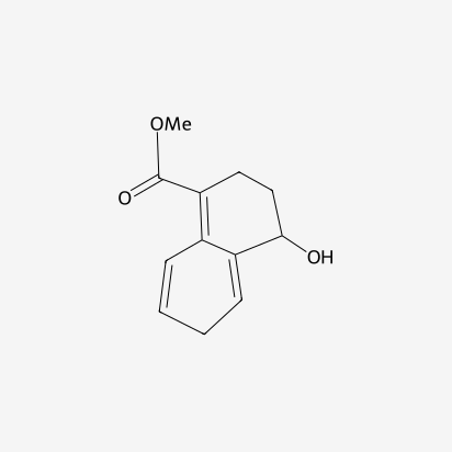 COC(=O)C1=C2C=CCC=C2C(O)CC1